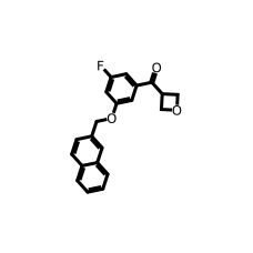 O=C(c1cc(F)cc(OCc2ccc3ccccc3c2)c1)C1COC1